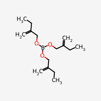 C=C(CC)COB(OCC(=C)CC)OCC(=C)CC